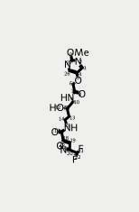 COc1ncc(OCC(=O)NC[C@@H](O)CCNC(=O)c2cc(C(F)F)no2)cn1